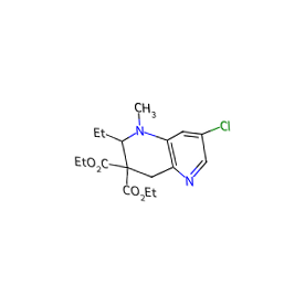 CCOC(=O)C1(C(=O)OCC)Cc2ncc(Cl)cc2N(C)C1CC